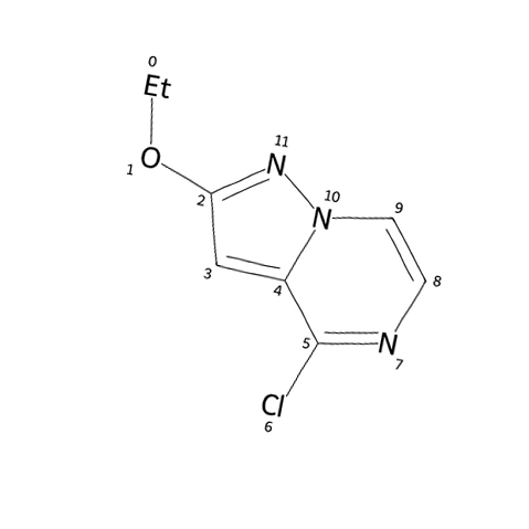 CCOc1cc2c(Cl)nccn2n1